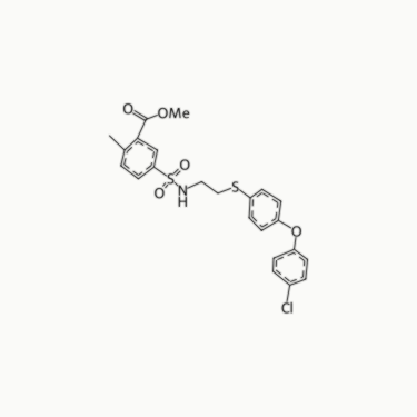 COC(=O)c1cc(S(=O)(=O)NCCSc2ccc(Oc3ccc(Cl)cc3)cc2)ccc1C